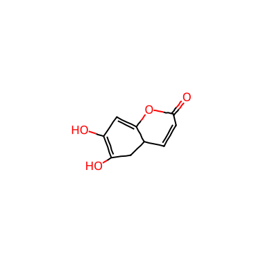 O=C1C=CC2CC(O)=C(O)C=C2O1